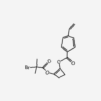 C=Cc1ccc(C(=O)OC2=C(OC(=O)C(C)(C)Br)CC2)cc1